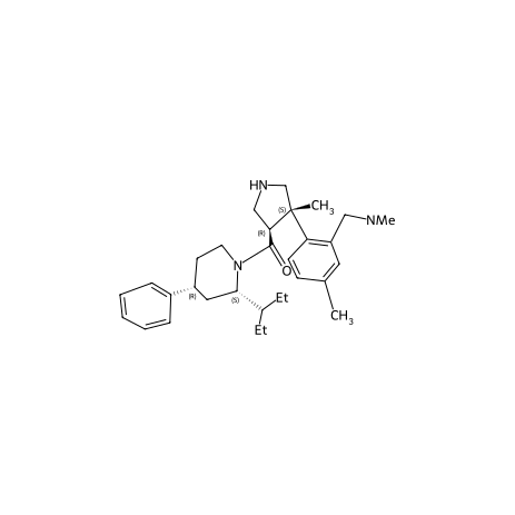 CCC(CC)[C@@H]1C[C@H](c2ccccc2)CCN1C(=O)[C@H]1CNC[C@]1(C)c1ccc(C)cc1CNC